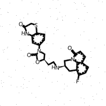 O=C1CSc2ccc(N3C[C@@H](CCN[C@@H]4Cc5c(F)ccc6ccc(=O)n(c56)C4)OC3=O)cc2N1